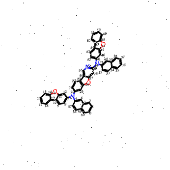 c1ccc2cc(N(c3ccc4c(c3)oc3ccccc34)c3ccc4c(c3)oc3cc(N(c5ccc6ccccc6c5)c5ccc6c(c5)oc5ccccc56)ncc34)ccc2c1